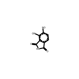 O=Nc1ccc2c(c1N=O)C(=O)NC2=O